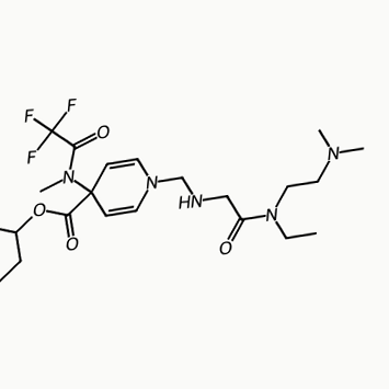 CCC(C)OC(=O)C1(N(C)C(=O)C(F)(F)F)C=CN(CNCC(=O)N(CC)CCN(C)C)C=C1